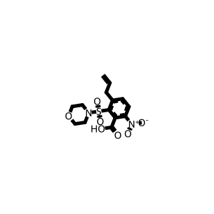 C=CCc1ccc([N+](=O)[O-])c(C(=O)O)c1S(=O)(=O)N1CCOCC1